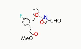 COC(=O)CCc1ccc(F)cc1CC1C2CCC(O2)C1c1nc(C=O)co1